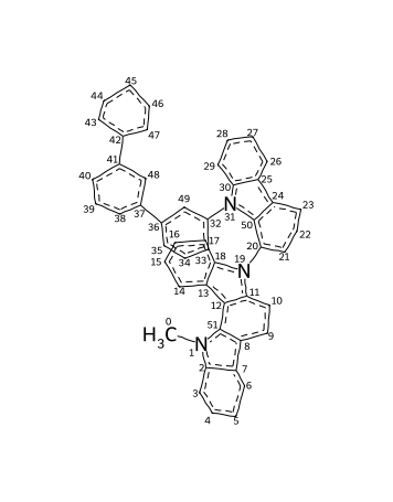 Cn1c2ccccc2c2ccc3c(c4ccccc4n3-c3cccc4c5ccccc5n(-c5cccc(-c6cccc(-c7ccccc7)c6)c5)c34)c21